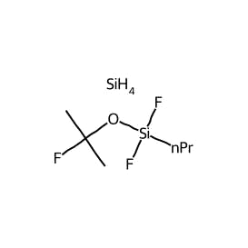 CCC[Si](F)(F)OC(C)(C)F.[SiH4]